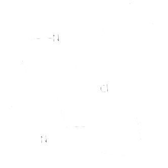 C=C1C=C2CCN=C(c3ccccc3)C2=C(Cl)C(c2ccccc2)=N1